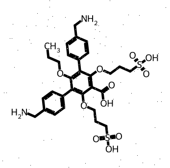 CCCOc1c(-c2ccc(CN)cc2)c(OCCCS(=O)(=O)O)c(C(=O)O)c(OCCCS(=O)(=O)O)c1-c1ccc(CN)cc1